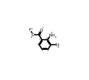 CCc1cccc(C(=O)OF)c1N